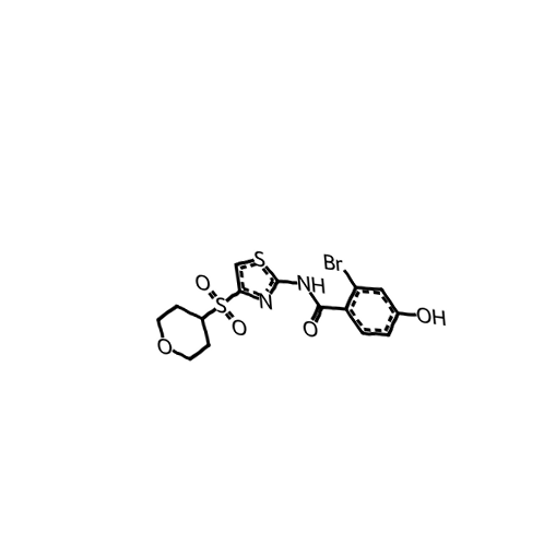 O=C(Nc1nc(S(=O)(=O)C2CCOCC2)cs1)c1ccc(O)cc1Br